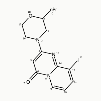 CCCC1CN(c2cc(=O)n3cccc(I)c3n2)CCO1